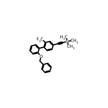 C[Si](C)(C)C#Cc1ccc(-c2ccccc2OCc2ccccc2)c(C(F)(F)F)c1